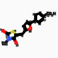 CCN1C(=O)S/C(=C\c2ccc(-c3ccc(C(=O)O)cc3)o2)C1=O